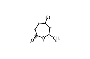 CCC1CCC(=O)OC(C)C1